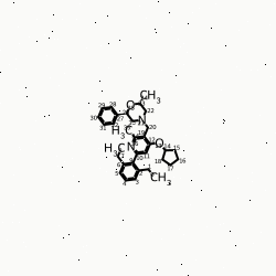 CCc1cccc(CC)c1-c1cc(OC2CCCC2)c(CN2C[C@@H](C)O[C@H](c3ccccc3)C2)c(C)n1